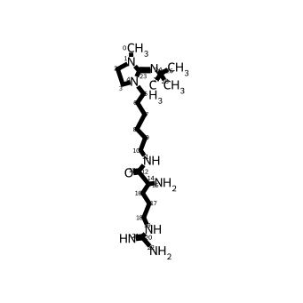 CN1CCN(CCCCCCNC(=O)C(N)CCCNC(=N)N)C1=NC(C)(C)C